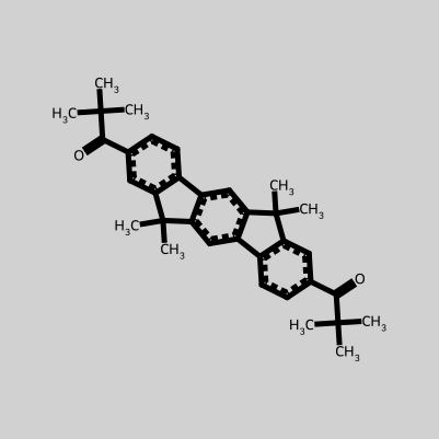 CC(C)(C)C(=O)c1ccc2c(c1)C(C)(C)c1cc3c(cc1-2)C(C)(C)c1cc(C(=O)C(C)(C)C)ccc1-3